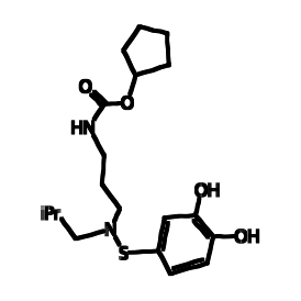 CC(C)CN(CCCNC(=O)OC1CCCC1)Sc1ccc(O)c(O)c1